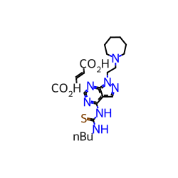 CCCCNC(=S)Nc1ncnc2c1cnn2CCN1CCCCCC1.O=C(O)C=CC(=O)O